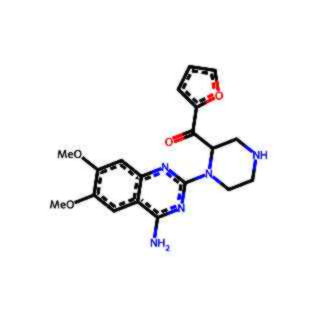 COc1cc2nc(N3CCNCC3C(=O)c3ccco3)nc(N)c2cc1OC